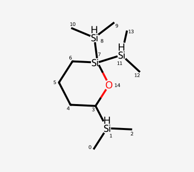 C[SiH](C)C1CCC[Si]([SiH](C)C)([SiH](C)C)O1